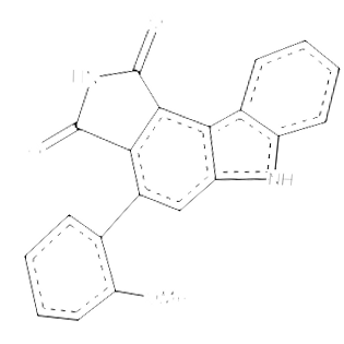 COc1ccccc1-c1cc2[nH]c3ccccc3c2c2c1C(=O)NC2=O